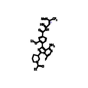 CCOc1cc(C(=O)NC(=N)/C=C(\NC)C(F)(F)F)ccc1-c1nc(C2CCCN(C(=O)CC)C2)n2c(F)cnc(N)c12